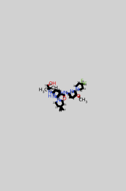 COc1ccc(NC(=O)c2ccc(NC(C)(C)CO)nc2N2CCC3(CC2)CC3)nc1N1CCC(F)(F)CC1